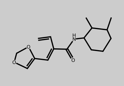 C=C/C(=C\C1=COCO1)C(=O)NC1CCCC(C)C1C